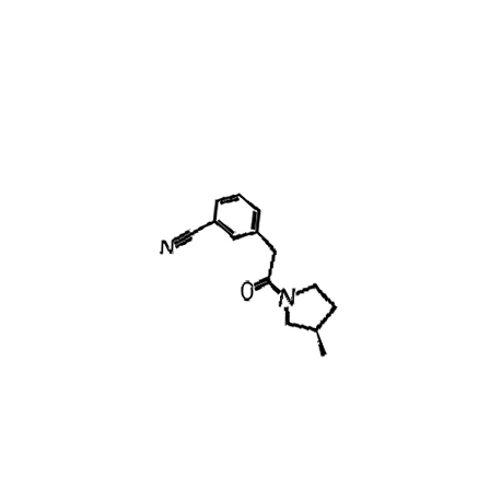 C[C@@H]1CCN(C(=O)Cc2cccc(C#N)c2)C1